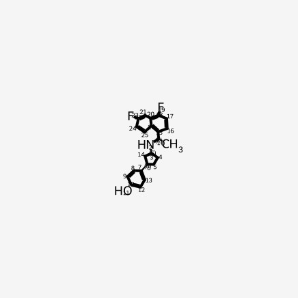 C[C@@H](N[C@H]1CC[C@@H](c2ccc(O)cc2)C1)c1ccc(F)c2cc(F)ccc12